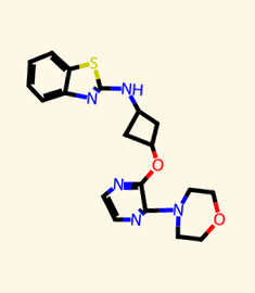 c1ccc2sc(NC3CC(Oc4nccnc4N4CCOCC4)C3)nc2c1